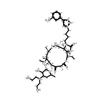 CC[C@H]1OC(=O)[C@H](C)C(=O)[C@H](C)[C@@H](O[C@@H]2OC(C)CC(N(CCO)CCO)C2O)[C@](C)(OC)C[C@@H](C)CN[C@H](C)[C@H]2N(CCCCn3cc(-c4cccc(N)c4)nn3)C(=O)O[C@]12C